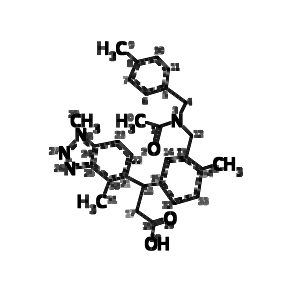 CC(=O)N(Cc1ccc(C)cc1)Cc1cc(C(CC(=O)O)c2ccc3c(nnn3C)c2C)ccc1C